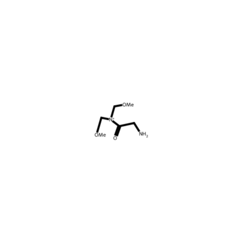 COC[N+](COC)C(=O)CN